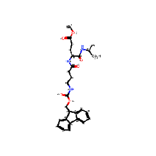 CC(C)[C@H](NC(=O)[C@H](CCC(=O)OC(C)(C)C)NC(=O)CCCNC(=O)OCC1c2ccccc2-c2ccccc21)C(=O)O